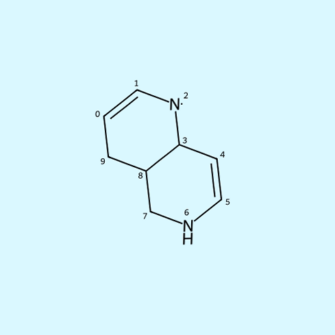 C1=C[N]C2C=CNCC2C1